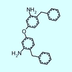 Nc1cc(Oc2ccc(Cc3ccccc3)c(N)c2)ccc1Cc1ccccc1